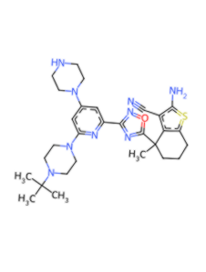 CC1(c2nc(-c3cc(N4CCNCC4)cc(N4CCN(C(C)(C)C)CC4)n3)no2)CCCc2sc(N)c(C#N)c21